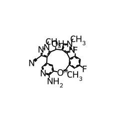 C[C@H]1Oc2cc(cnc2N)-c2c(C#N)nn(C)c2C(O)c2cn(C)nc2-c2c(F)cc(F)cc21